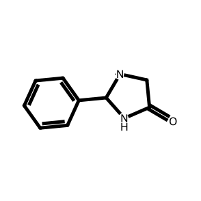 O=C1C[N]C(c2ccccc2)N1